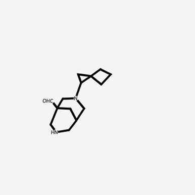 O=CC12CNCC(CN(C3CC34CCC4)C1)C2